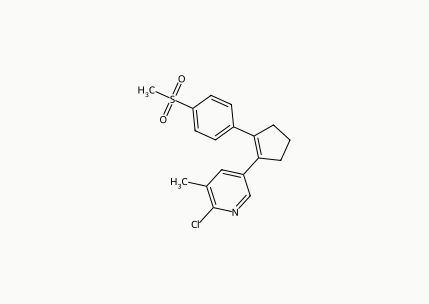 Cc1cc(C2=C(c3ccc(S(C)(=O)=O)cc3)CCC2)cnc1Cl